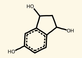 O[C]1CC(O)c2cc(O)ccc21